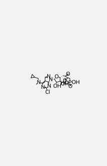 CN(CC1CC1)c1nc(Cl)nc2c1cnn2[C@@H]1O[C@H](CS(=O)(=O)CP(=O)(O)O)[C@@H](O)[C@H]1O